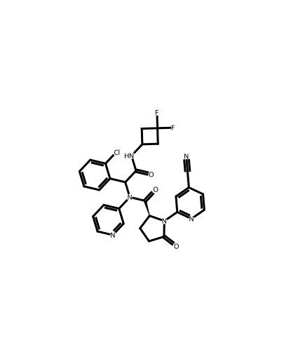 N#Cc1ccnc(N2C(=O)CC[C@H]2C(=O)N(c2cccnc2)C(C(=O)NC2CC(F)(F)C2)c2ccccc2Cl)c1